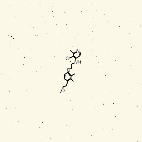 COCCc1ccc(OCCNc2ccnc(C)c2Cl)c(C)c1C